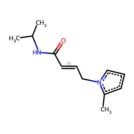 Cc1cccn1C/C=C/C(=O)NC(C)C